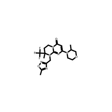 Cc1nc(CN2c3nc(N4CCOCC4C)cc(=O)n3CCC2(C)C(F)(F)F)no1